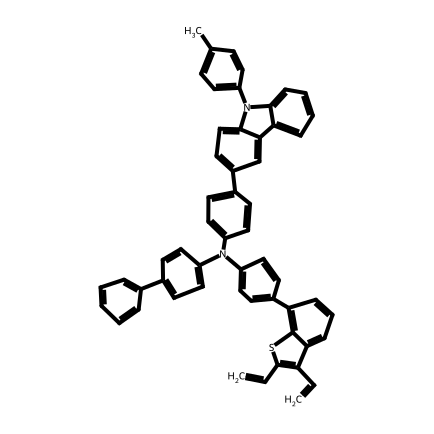 C=Cc1sc2c(-c3ccc(N(c4ccc(-c5ccccc5)cc4)c4ccc(-c5ccc6c(c5)c5ccccc5n6-c5ccc(C)cc5)cc4)cc3)cccc2c1C=C